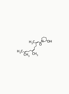 CC(C)=CCCC(C)=CCCC(C)=CC(=O)N1CCCC(O)C1